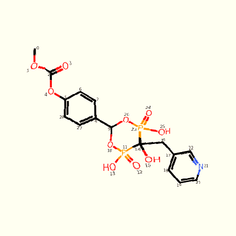 COC(=O)Oc1ccc(C2OP(=O)(O)C(O)(Cc3cccnc3)P(=O)(O)O2)cc1